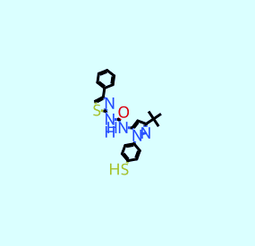 CC(C)(C)c1cc(NC(=O)Nc2nc(-c3ccccc3)cs2)n(-c2ccc(S)cc2)n1